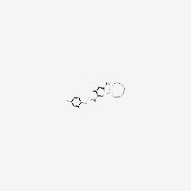 Cc1ccc(CNC(=O)c2cn3c(c(O)c2=O)C(=O)N2CCCCCCN3C2)c(F)c1